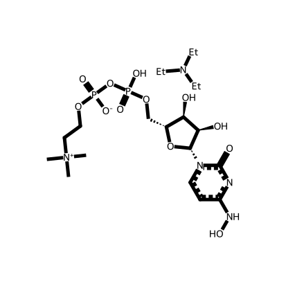 CCN(CC)CC.C[N+](C)(C)CCOP(=O)([O-])OP(=O)(O)OC[C@H]1O[C@@H](n2ccc(NO)nc2=O)[C@H](O)[C@@H]1O